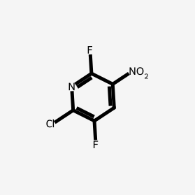 O=[N+]([O-])c1cc(F)c(Cl)nc1F